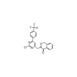 O=C1c2ccccc2CON1Cc1cc(-c2ccc(C(F)(F)F)cc2)nc(Cl)n1